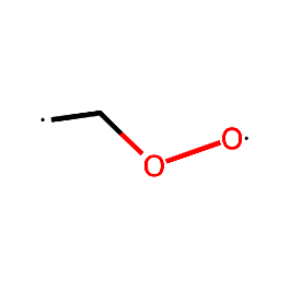 [CH2]CO[O]